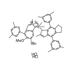 COc1c(C(C)(C)C)cc2c(c1-c1cc(C)cc(C)c1)C=C(C)[CH]2[Hf]([CH3])([CH3])(=[SiH2])[CH]1C(C)=Cc2c(-c3cc(C)cc(C)c3)c3c(c(-c4cc(C)cc(C)c4)c21)CCC3.Cl.Cl